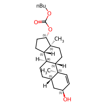 CCCCOC(=O)O[C@H]1CC[C@H]2[C@@H]3CC[C@H]4C[C@H](O)C=C[C@]4(C)[C@H]3CC[C@]12C